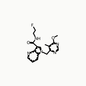 COc1ncnc(Cn2cc(C(=O)NCCF)c3ncccc32)c1C